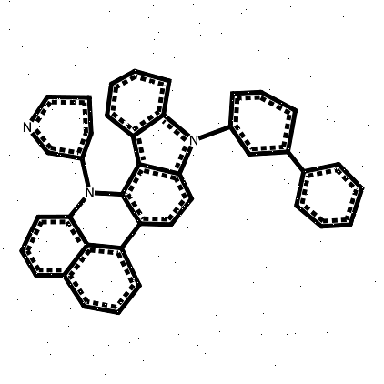 c1ccc(-c2cccc(-n3c4ccccc4c4c5c(ccc43)-c3cccc4cccc(c34)N5c3cccnc3)c2)cc1